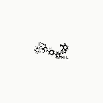 CC(C)C[C@H](NCc1ccc(-c2cnc(N)c(NCc3c(F)cccc3F)n2)cc1)C(=O)OC1CCCC1